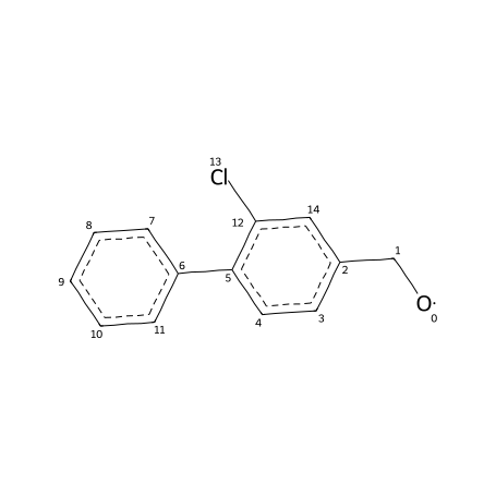 [O]Cc1ccc(-c2ccccc2)c(Cl)c1